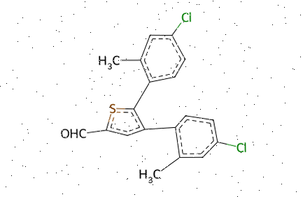 Cc1cc(Cl)ccc1-c1cc(C=O)sc1-c1ccc(Cl)cc1C